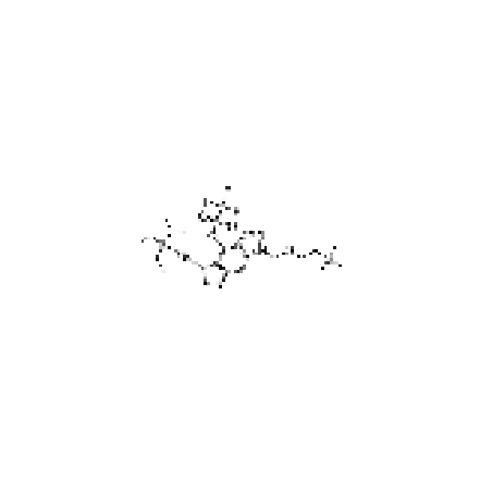 CC(C)[Si](C#Cc1csc2cc3c(cnn3COCC[Si](C)(C)C)c(OS(=O)(=O)C(F)(F)F)c12)(C(C)C)C(C)C